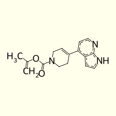 C=C(C)OC(=O)N1CC=C(c2ccnc3[nH]ccc23)CC1